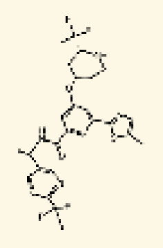 Cc1cnc(-c2cc(O[C@H]3CCN[C@@H](C(F)(F)F)C3)cc(C(=O)N[C@H](C)c3cnc(C(F)(F)F)nc3)c2)s1